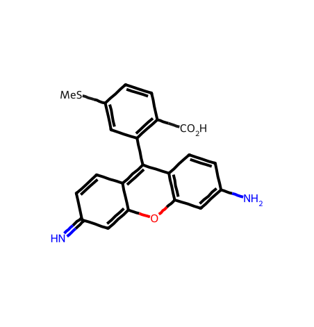 CSc1ccc(C(=O)O)c(-c2c3ccc(=N)cc-3oc3cc(N)ccc23)c1